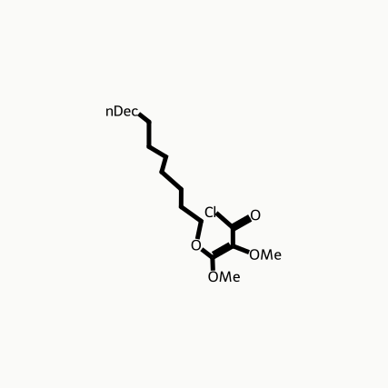 CCCCCCCCCCCCCCCCCOC(OC)=C(OC)C(=O)Cl